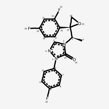 C[C@@H](n1cnn(-c2ccc(F)cc2)c1=O)[C@]1(c2ccc(F)cc2F)CO1